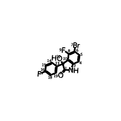 O=C1Nc2ccc(Br)c(F)c2C1(O)c1ccc(F)cc1